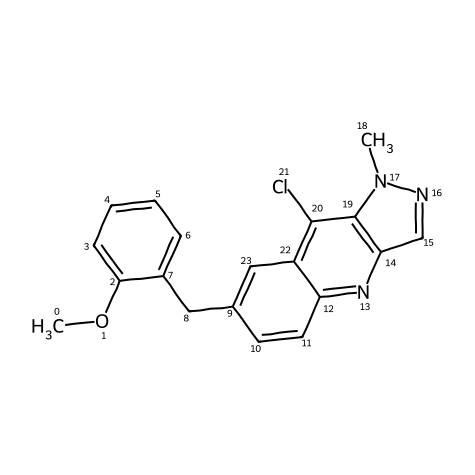 COc1ccccc1Cc1ccc2nc3cnn(C)c3c(Cl)c2c1